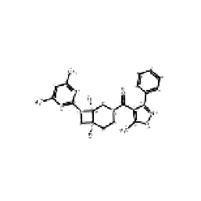 Cc1cc(C)nc(N2C[C@@H]3CCN(C(=O)c4c(-c5ccccc5)noc4C)C[C@@H]32)n1